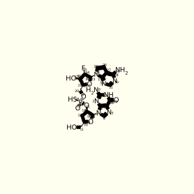 Nc1nc2c(ncn2[C@@H]2O[C@H](CO)C[C@H]2O[P@](=O)(S)OC[C@H]2O[C@@H](n3ccc4c(N)ncnc43)[C@@H](F)[C@@H]2O)c(=O)[nH]1